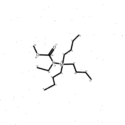 CCC[CH2][Sn]([CH2]CCC)([CH2]CCC)[N](CC)C(=O)OC